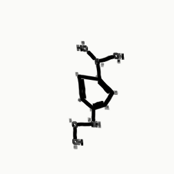 OOBc1ccc(B(O)O)cc1